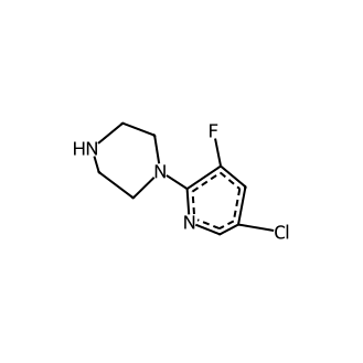 Fc1cc(Cl)cnc1N1CCNCC1